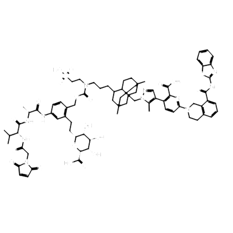 Cc1c(-c2ccc(N3CCc4cccc(C(=O)Nc5nc6ccccc6s5)c4C3)nc2C(=O)O)cnn1CC12CC3(C)CCC1C(CCCN(CCS(=O)(=O)O)C(=O)OCc1ccc(NC(=O)[C@H](C)NC(=O)[C@@H](NC(=O)CN4C(=O)C=CC4=O)C(C)C)cc1CC[C@@H]1O[C@H](C(=O)O)[C@@H](O)[C@H](O)[C@H]1O)CC(C)(C3)C2